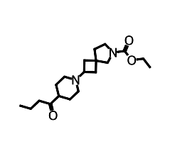 CCCC(=O)C1CCN(C2CC3(CCN(C(=O)OCC)C3)C2)CC1